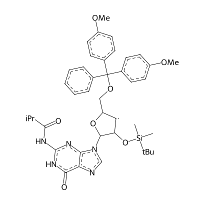 COc1ccc(C(OCC2[CH]C(O[Si](C)(C)C(C)(C)C)C(n3cnc4c(=O)[nH]c(NC(=O)C(C)C)nc43)O2)(c2ccccc2)c2ccc(OC)cc2)cc1